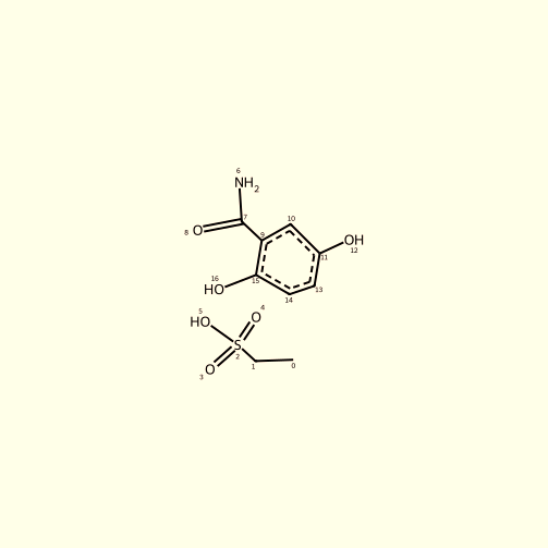 CCS(=O)(=O)O.NC(=O)c1cc(O)ccc1O